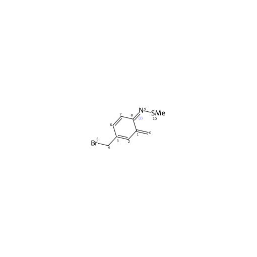 C=C1C=C(CBr)C=C/C1=N/SC